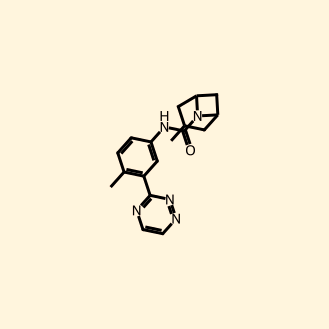 Cc1ccc(NC(=O)N2C3CC(C)CC2C3)cc1-c1nccnn1